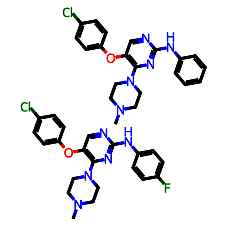 CN1CCN(c2nc(Nc3ccc(F)cc3)ncc2Oc2ccc(Cl)cc2)CC1.CN1CCN(c2nc(Nc3ccccc3)ncc2Oc2ccc(Cl)cc2)CC1